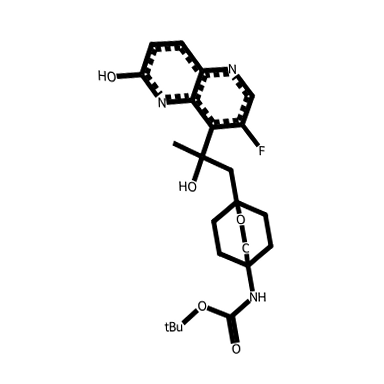 CC(C)(C)OC(=O)NC12CCC(CC(C)(O)c3c(F)cnc4ccc(O)nc34)(CC1)OC2